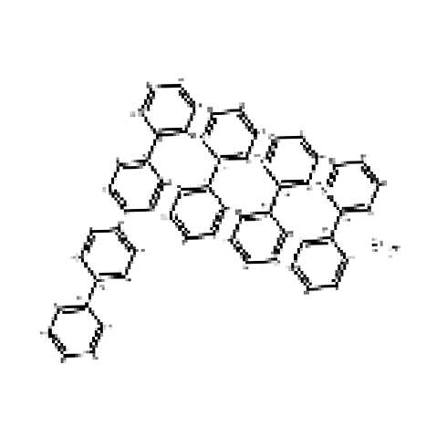 [Os].[Pt].c1ccc(-c2ccccn2)cc1.c1ccc(-c2ccccn2)cc1.c1ccc(-c2ccccn2)cc1.c1ccc(-c2ccccn2)cc1.c1ccc(-c2ccccn2)cc1